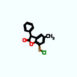 Cc1cc(SCl)c2c(c1)C(c1ccccc1)C(=O)O2